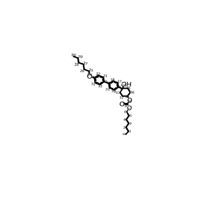 CCCCCCCOC(=O)OC1CCC(O)(c2ccc(-c3ccc(OCCCCCC)cc3)cc2)CC1